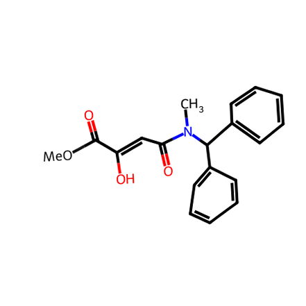 COC(=O)C(O)=CC(=O)N(C)C(c1ccccc1)c1ccccc1